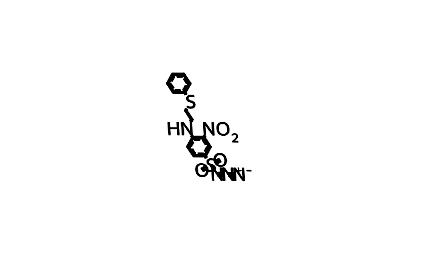 [N-]=[N+]=NS(=O)(=O)c1ccc(NCCSc2ccccc2)c([N+](=O)[O-])c1